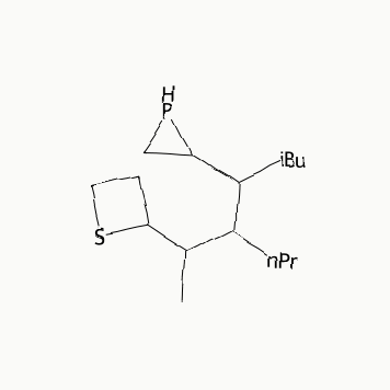 CCCC(C(C)C1CCS1)C(C(C)CC)C1CP1